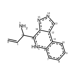 C=CC(N)c1[nH]c2ccccc2c2cnnc1-2